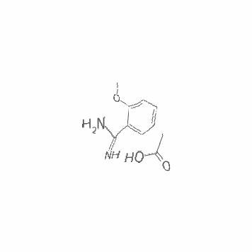 CC(=O)O.COc1ccccc1C(=N)N